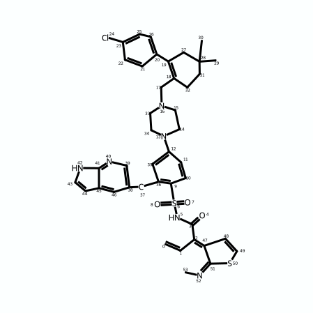 C=C/C(C(=O)NS(=O)(=O)c1ccc(N2CCN(CC3=C(c4ccc(Cl)cc4)CC(C)(C)CC3)CC2)cc1Cc1cnc2[nH]ccc2c1)=C1/C=CS/C1=N/C